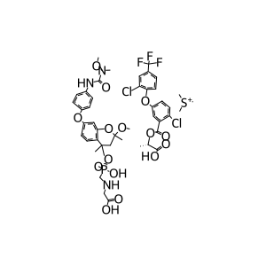 CON(C)C(=O)Nc1ccc(Oc2ccc3c(c2)OC(C)(OC)CC3(C)C)cc1.C[C@H](OC(=O)c1cc(Oc2ccc(C(F)(F)F)cc2Cl)ccc1Cl)C(=O)O.C[S+](C)C.O=C(O)CNCP(=O)([O-])O